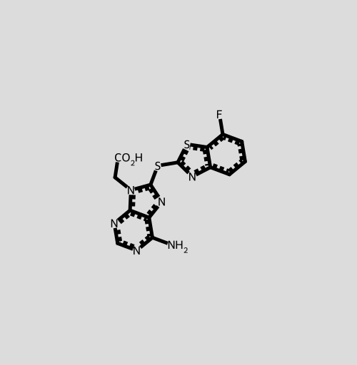 Nc1ncnc2c1nc(Sc1nc3cccc(F)c3s1)n2CC(=O)O